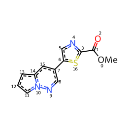 COC(=O)c1ncc(-c2cnn3cccc3c2)s1